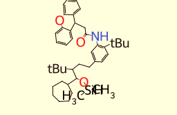 C[SiH](C)OC(C1CCCCCC1)C(CCc1ccc(C(C)(C)C)c(NC(=O)CC2c3ccccc3Oc3ccccc32)c1)C(C)(C)C